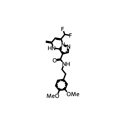 C=C1C=C(C(F)F)n2ncc(C(=O)NCCc3ccc(OC)c(OC)c3)c2N1